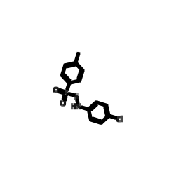 Cc1ccc(S(=O)(=O)SNc2ccc(Cl)cc2)cc1